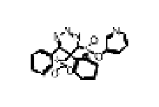 O=S(=O)(Oc1cccnc1)C1N=NN=C(c2ccccc2)C1(c1ccccc1)S(=O)(=O)O